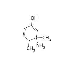 CC1C=CC(O)=CC1(C)N